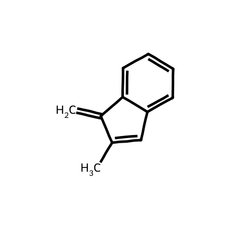 C=C1C(C)=Cc2ccccc21